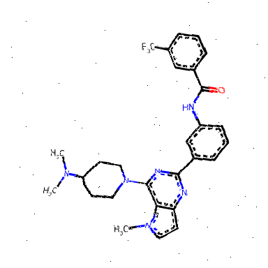 CN(C)C1CCN(c2nc(-c3cccc(NC(=O)c4cccc(C(F)(F)F)c4)c3)nc3ccn(C)c23)CC1